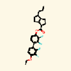 CCCC1CCC2C(C(=O)Oc3ccc(-c4ccc(OCC)c(F)c4F)c(F)c3F)CCC12